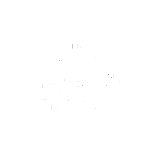 CC1(C)OB(C2(c3ccccc3)C(c3ccccc3)=C(N)SC2N)OC1(C)C